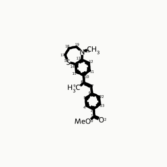 COC(=O)c1ccc(C=C(C)c2ccc3c(c2)SCCCN3C)cc1